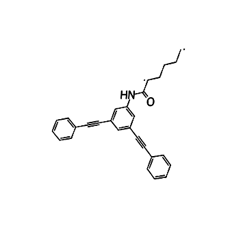 [CH2]CCC[CH]C(=O)Nc1cc(C#Cc2ccccc2)cc(C#Cc2ccccc2)c1